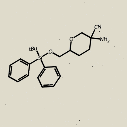 CC(C)(C)[Si](OCC1CCC(N)(C#N)CO1)(c1ccccc1)c1ccccc1